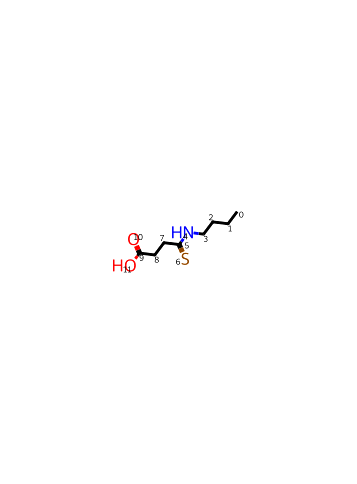 CCCCNC(=S)CCC(=O)O